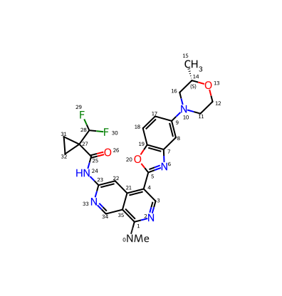 CNc1ncc(-c2nc3cc(N4CCO[C@@H](C)C4)ccc3o2)c2cc(NC(=O)C3(C(F)F)CC3)ncc12